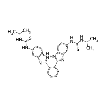 CC(C)NC(=S)Nc1ccc2[nH]c(-c3ccccc3-c3nc4cc(NC(=S)NC(C)C)ccc4[nH]3)nc2c1